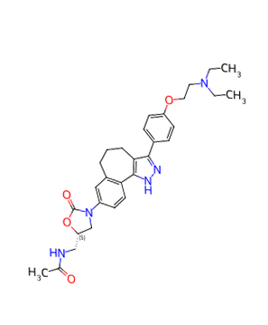 CCN(CC)CCOc1ccc(-c2n[nH]c3c2CCCc2cc(N4C[C@H](CNC(C)=O)OC4=O)ccc2-3)cc1